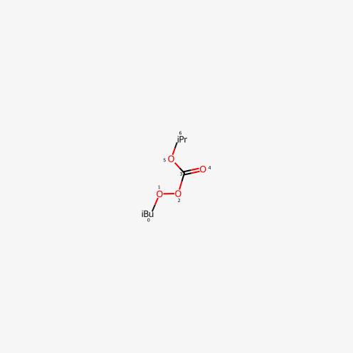 CCC(C)OOC(=O)OC(C)C